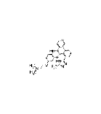 CN(C)CCOc1ccc(Nc2nc3c(-c4nnc(C(F)(F)F)[nH]4)cccc3c3cnccc23)c(F)c1